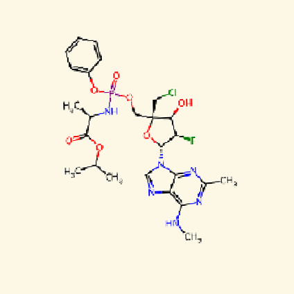 CNc1nc(C)nc2c1ncn2[C@@H]1O[C@](CCl)(COP(=O)(N[C@H](C)C(=O)OC(C)C)Oc2ccccc2)[C@@H](O)[C@H]1F